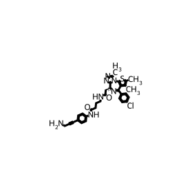 Cc1sc2c(c1C)C(c1ccc(Cl)cc1)=N[C@@H](CC(=O)NCCCC(=O)Nc1ccc(C#CCN)cc1)c1nnc(C)n1-2